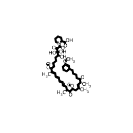 COC1=CC(CCCCC(=O)[C@H](C)/C=C(\C)CC(OC)C(=O)C(C)CC/C=C/C=C/C=C(\C)C(CCCCC(C)C(O)(O)C(=O)C(=O)N2CCCCC2C(=O)O)OC)CCC1